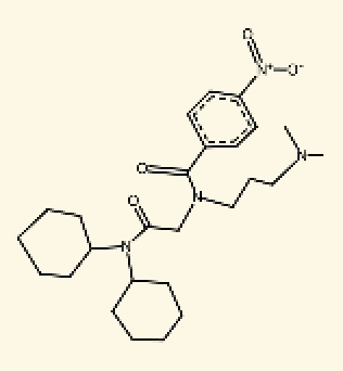 CN(C)CCCN(CC(=O)N(C1CCCCC1)C1CCCCC1)C(=O)c1ccc([N+](=O)[O-])cc1